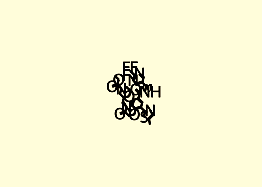 COC(=O)N1CCOC(CN2C(=O)COc3c(-c4ncc(C)s4)cc(C(=O)N[C@H](C)c4cnc(C(F)(F)F)nc4)cc32)C1